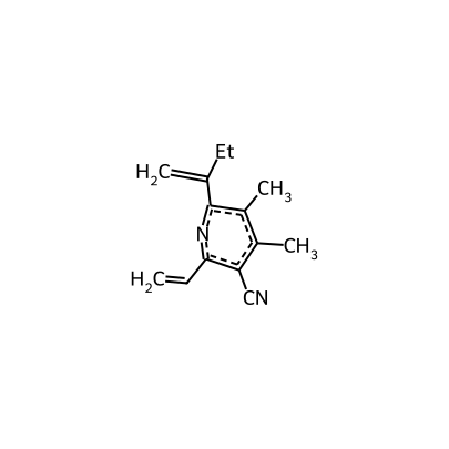 C=Cc1nc(C(=C)CC)c(C)c(C)c1C#N